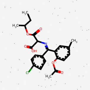 CCC(C)OC(=O)C(N=C(c1ccc(Cl)cc1)c1cc(C)ccc1OC(C)=O)C(=O)O